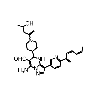 C=C(/C=C\C=C/C)c1ccc(-c2cnn3c2NC(C2CCN(C(=C)CC(C)O)CC2)C(C=O)=C3N)cn1